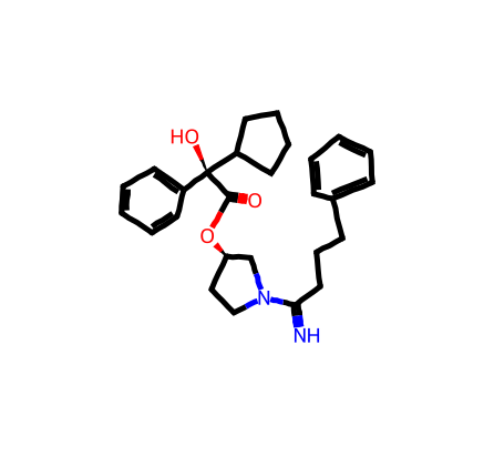 N=C(CCCc1ccccc1)N1CC[C@@H](OC(=O)[C@](O)(c2ccccc2)C2CCCC2)C1